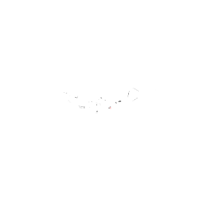 CC[C@H]1CC[C@H]2[C@@H]3CC[C@@H]4C[C@@](O)(C#Cc5ccc(C)cc5)CC[C@]4(C)[C@H]3CC[C@]12C